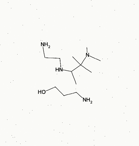 CC(NCCN)C(C)(C)N(C)C.NCCCO